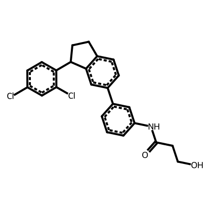 O=C(CCO)Nc1cccc(-c2ccc3c(c2)C(c2ccc(Cl)cc2Cl)CC3)c1